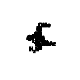 COc1ccc(COc2c(C(=O)NCC3CCCCC3)n(Cc3ccc(C(N)=O)cc3)c3cc(C(N)=NOC(C)=O)ccc23)cc1